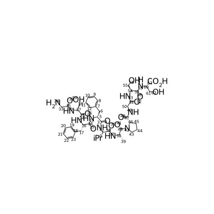 CC(C)[C@H](NC(=O)[C@H](Cc1ccccc1)NC(=O)[C@H](Cc1ccccc1)NC(=O)[C@H](CO)NC(=O)CN)C(=O)N[C@@H](C)C(=O)N1CCC[C@H]1C(=O)NCC(=O)N[C@@H](CO)C(=O)N[C@@H](CO)C(=O)O